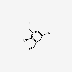 C=Cc1cc(C#N)cc(C=C)c1N